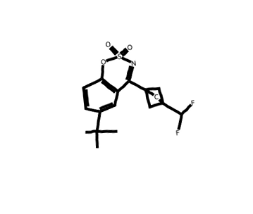 CC(C)(C)c1ccc2c(c1)C(C13CC(C(F)F)(C1)C3)=NS(=O)(=O)O2